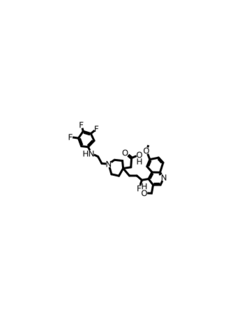 COc1ccc2ncc(CO)c(C(F)CCC3(CC(=O)O)CCN(CCNc4cc(F)c(F)c(F)c4)CC3)c2c1